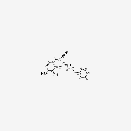 N#CC(=Cc1ccc(O)c(O)c1)C(=O)NCCCc1ccccc1